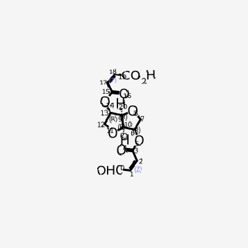 O=C/C=C\C(=O)O[C@@H]1CO[C@H]2[C@@H]1OC[C@H]2OC(=O)/C=C\C(=O)O